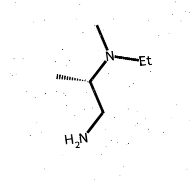 CCN(C)[C@@H](C)CN